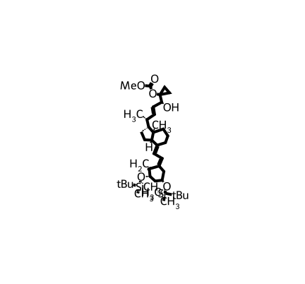 C=C1/C(=C\C=C2/CCC[C@]3(C)[C@@H]([C@H](C)/C=C/[C@@H](O)C4(OC(=O)OC)CC4)CC[C@@H]23)C[C@@H](O[Si](C)(C)C(C)(C)C)C[C@@H]1O[Si](C)(C)C(C)(C)C